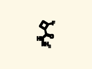 NNC(=O)[C@H]1CC[C@H]1F